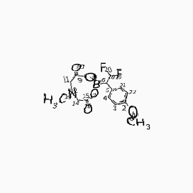 COc1ccc(C(B2OC(=O)CN(C)CC(=O)O2)C(F)F)cc1